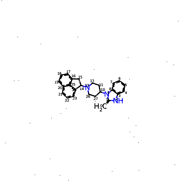 C=C1Nc2ccccc2N1C1CCN(C2Cc3cccc4cccc2c34)CC1